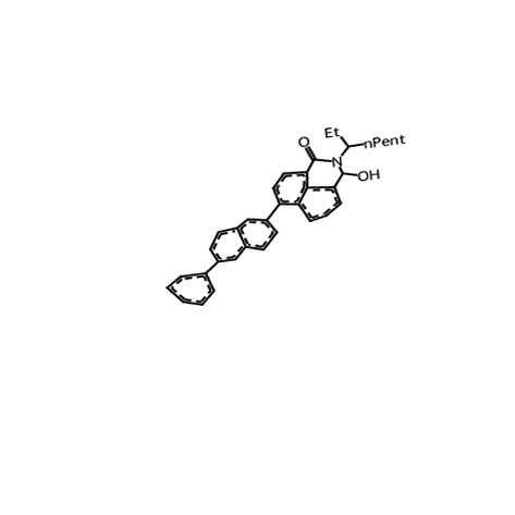 CCCCCC(CC)N1C(=O)c2ccc(-c3ccc4cc(-c5ccccc5)ccc4c3)c3cccc(c23)C1O